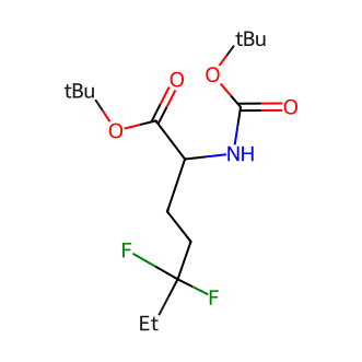 CCC(F)(F)CCC(NC(=O)OC(C)(C)C)C(=O)OC(C)(C)C